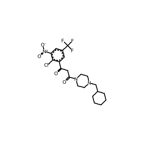 O=C(CC(=O)N1CCN(CC2CCCCC2)CC1)c1cc(C(F)(F)F)cc([N+](=O)[O-])c1Cl